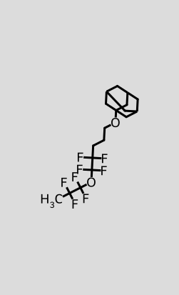 CC(F)(F)C(F)(F)OC(F)(F)C(F)(F)CCCOC12CC3CC(CC(C3)C1)C2